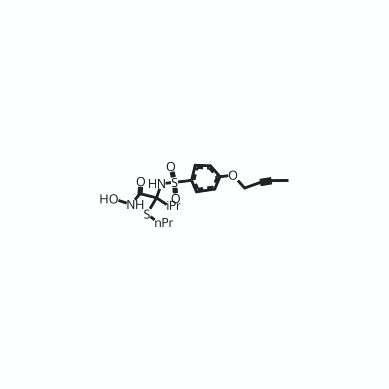 CC#CCOc1ccc(S(=O)(=O)NC(SCCC)(C(=O)NO)C(C)C)cc1